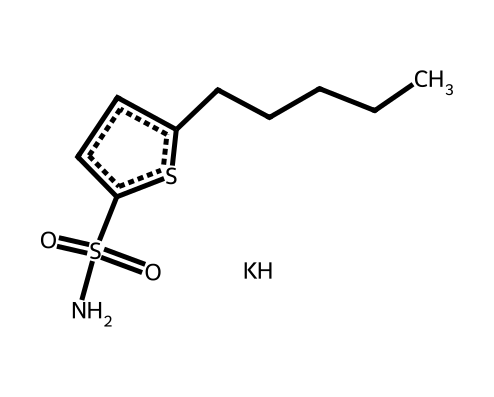 CCCCCc1ccc(S(N)(=O)=O)s1.[KH]